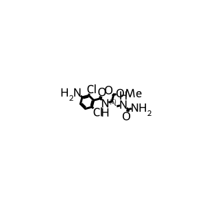 COC(=O)[C@H](CNC(N)=O)NC(=O)c1c(Cl)ccc(N)c1Cl